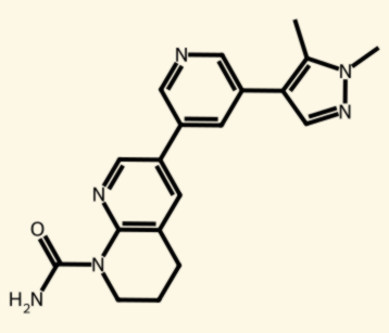 Cc1c(-c2cncc(-c3cnc4c(c3)CCCN4C(N)=O)c2)cnn1C